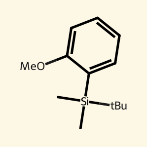 COc1ccccc1[Si](C)(C)C(C)(C)C